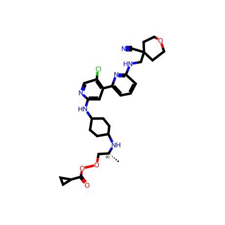 C[C@H](COOC(=O)C1CC1)NC1CCC(Nc2cc(-c3cccc(NCC4(C#N)CCOCC4)n3)c(Cl)cn2)CC1